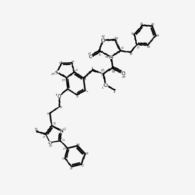 CO[C@@H](Cc1ccc(OCCc2nc(-c3ccccc3)oc2C)c2sccc12)C(=O)N1C(=O)OCC1Cc1ccccc1